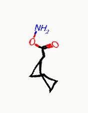 NOC(=O)C1CC12CC2